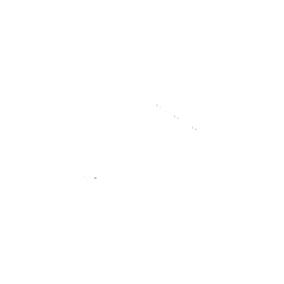 COC(=O)c1cc(F)cc(N=[N+]=[N-])c1